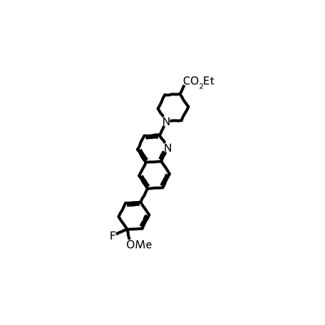 CCOC(=O)C1CCN(c2ccc3cc(C4=CCC(F)(OC)C=C4)ccc3n2)CC1